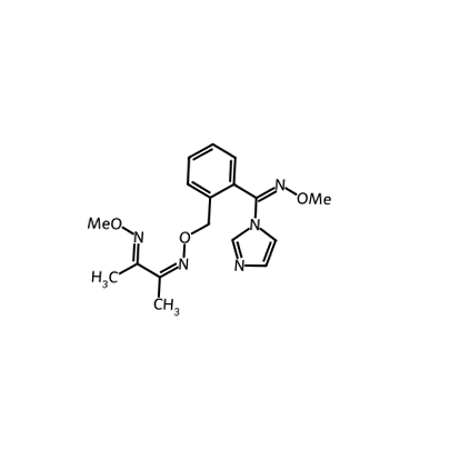 CON=C(C)C(C)=NOCc1ccccc1C(=NOC)n1ccnc1